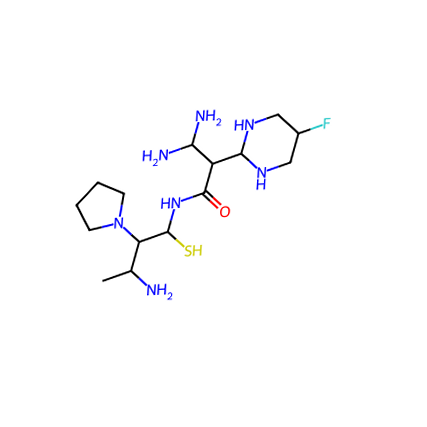 CC(N)C(C(S)NC(=O)C(C(N)N)C1NCC(F)CN1)N1CCCC1